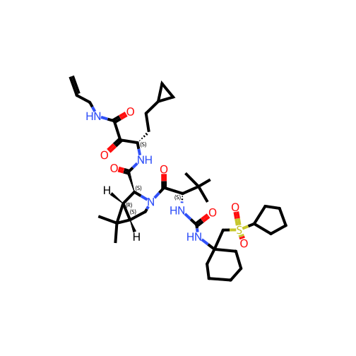 C=CCNC(=O)C(=O)[C@H](CCC1CC1)NC(=O)[C@@H]1[C@@H]2[C@H](CN1C(=O)[C@@H](NC(=O)NC1(CS(=O)(=O)C3CCCC3)CCCCC1)C(C)(C)C)C2(C)C